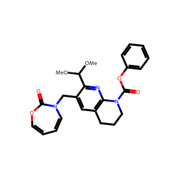 COC(OC)c1nc2c(cc1CN1C=CC=COC1=O)CCCN2C(=O)Oc1ccccc1